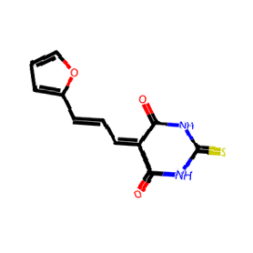 O=C1NC(=S)NC(=O)C1=CC=Cc1ccco1